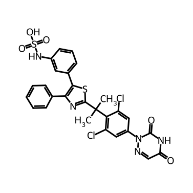 CC(C)(c1nc(-c2ccccc2)c(-c2cccc(NS(=O)(=O)O)c2)s1)c1c(Cl)cc(-n2ncc(=O)[nH]c2=O)cc1Cl